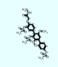 COc1cc(-c2ccc(OS(C)(=O)=O)cc2)c(OC)c(OS(C)(=O)=O)c1-c1ccc(OCC(=O)NN)c(OS(C)(=O)=O)c1